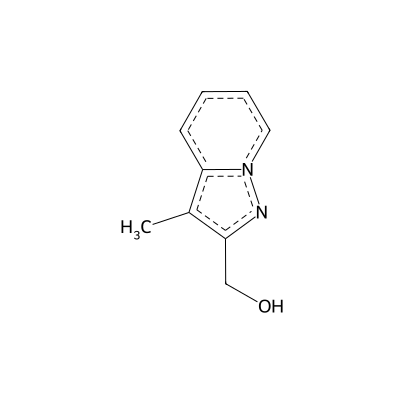 Cc1c(CO)nn2ccccc12